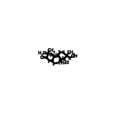 CC[C@H]1[C@@H]2CCC3=CC(=O)C(C)(C)CC3=C2CC[C@]1(C)CO